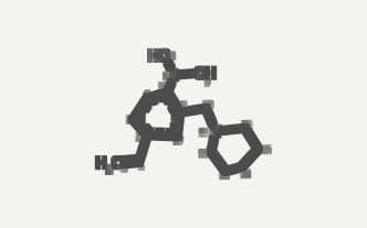 C=Cc1ccc(B(O)O)c(CN2CCCCC2)c1